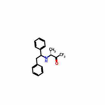 C[C@@H](NC(Cc1ccccc1)c1ccccc1)C(=O)C(F)(F)F